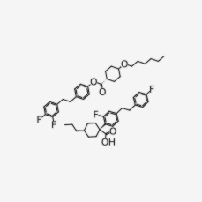 CCCCCCO[C@H]1CC[C@H](C(=O)Oc2ccc(CCc3ccc(F)c(F)c3)cc2)CC1.CCC[C@H]1CC[C@@](C(=O)O)(c2ccc(CCc3ccc(F)cc3)cc2F)CC1